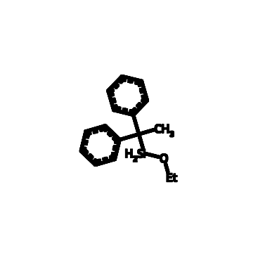 CCO[SiH2]C(C)(c1ccccc1)c1ccccc1